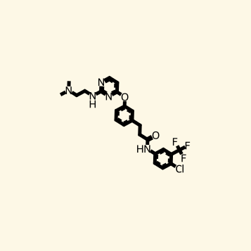 CN(C)CCNc1nccc(Oc2cccc(CCC(=O)Nc3ccc(Cl)c(C(F)(F)F)c3)c2)n1